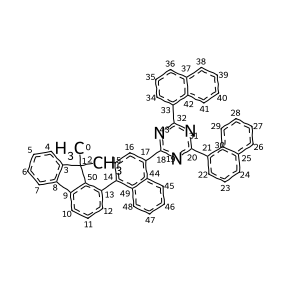 CC1(C)c2ccccc2-c2cccc(-c3ccc(-c4nc(-c5cccc6ccccc56)nc(-c5cccc6ccccc56)n4)c4ccccc34)c21